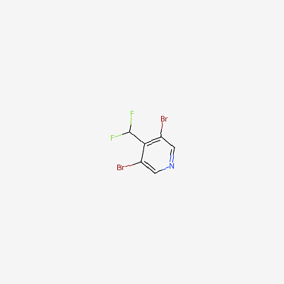 FC(F)c1c(Br)cncc1Br